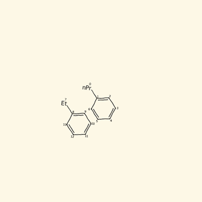 CCCc1ccccc1.CCc1ccccc1